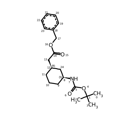 CC(C)(C)OC(=O)N[C@H]1CCC[C@@H](CC(=O)OCc2ccccc2)C1